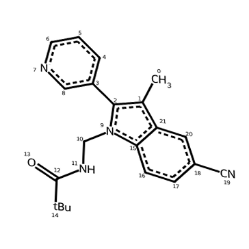 Cc1c(-c2cccnc2)n(CNC(=O)C(C)(C)C)c2ccc(C#N)cc12